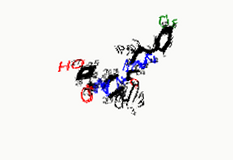 CC(C)c1cc(-c2ccc(F)c(Cl)c2)nn2cc(C(=O)N3CCN(C(=O)[C@H]4C[C@@H](O)C4)CC3(C)C)nc12